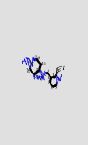 CCc1ncccc1Cn1nnc2c1CCNC2